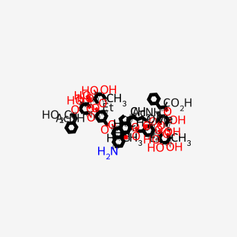 CC[C@@H]1CC(C(=O)O[C@@H]2C[C@@H]3C[C@@H](N)CC[C@]3(C)[C@H]3C[C@H](OC(=O)C4C[C@@H](CC)[C@@H](OC5O[C@@H](C)[C@H](O)C(O)[C@@H]5O)[C@H](O[C@@H]5O[C@@H](CO)[C@H](O)C(O[C@@H](CC6CCCCC6)C(=O)O)C5NC(C)=O)C4)[C@]4(C)[C@@H]([C@H](C)CCC(=O)OC)CC[C@H]4[C@H]23)C[C@@H](O[C@@H]2O[C@@H](CO)[C@H](O)C(O[C@@H](CC3CCCCC3)C(=O)O)C2NC(C)=O)C1OC1O[C@@H](C)C(O)[C@H](O)[C@@H]1O